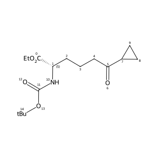 CCOC(=O)[C@H](CCCC(=O)C1CC1)NC(=O)OC(C)(C)C